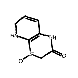 O=C1C[S+]([O-])C2=C(C=CCN2)N1